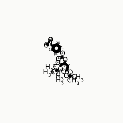 CC(C)(C)OC(=O)CC(OC(=O)Oc1ccc([N+](=O)[O-])cc1)C(=O)OC(C)(C)C